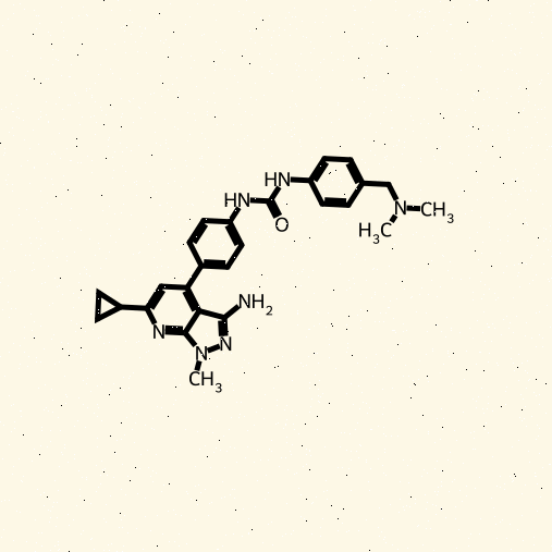 CN(C)Cc1ccc(NC(=O)Nc2ccc(-c3cc(C4CC4)nc4c3c(N)nn4C)cc2)cc1